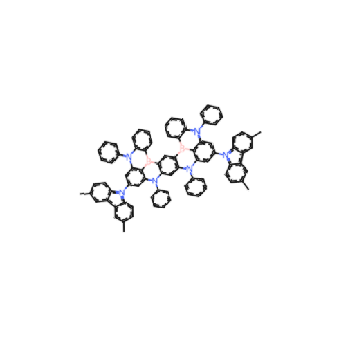 Cc1ccc2c(c1)c1cc(C)ccc1n2-c1cc2c3c(c1)N(c1ccccc1)c1cc4c(cc1B3c1ccccc1N2c1ccccc1)B1c2ccccc2N(c2ccccc2)c2cc(-n3c5ccc(C)cc5c5cc(C)ccc53)cc(c21)N4c1ccccc1